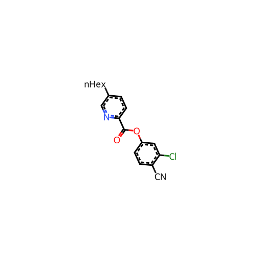 CCCCCCc1ccc(C(=O)Oc2ccc(C#N)c(Cl)c2)nc1